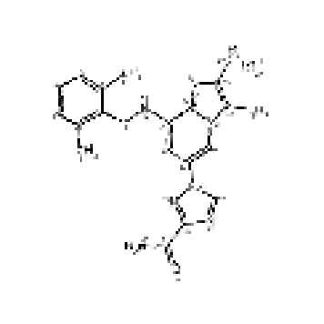 Cc1cccc(C)c1CNc1cc(-n2cnc(C(N)=O)n2)cn2c(C)c(C)nc12.Cl